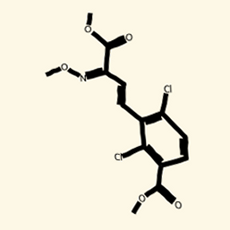 CON=C(C=Cc1c(Cl)ccc(C(=O)OC)c1Cl)C(=O)OC